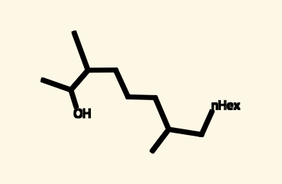 CCCCCCCC(C)CCCC(C)C(C)O